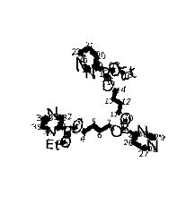 CCOB(OCCCCOB(OCCCCOB(OCC)c1cccnn1)c1ccncn1)c1cnccn1